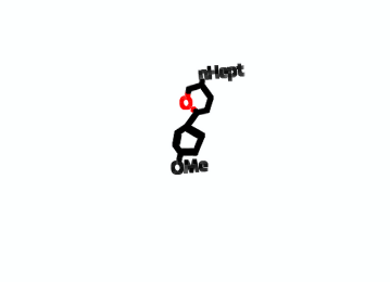 CCCCCCCC1CCC(c2ccc(OC)cc2)OC1